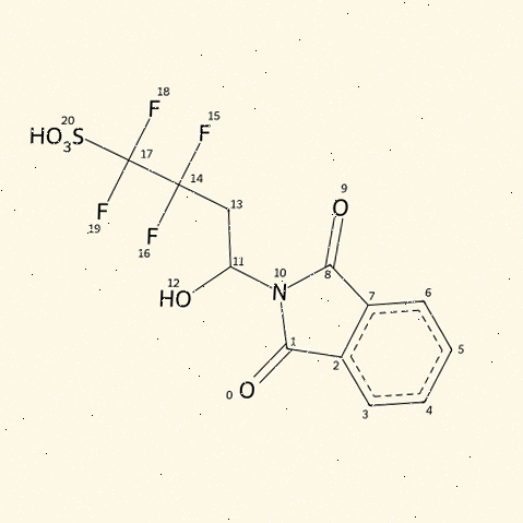 O=C1c2ccccc2C(=O)N1C(O)CC(F)(F)C(F)(F)S(=O)(=O)O